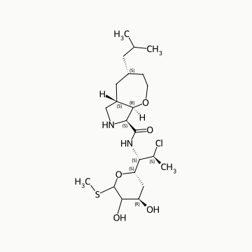 CSC1O[C@H]([C@H](NC(=O)[C@H]2NC[C@@H]3C[C@H](CC(C)C)CCO[C@H]32)[C@H](C)Cl)C[C@@H](O)C1O